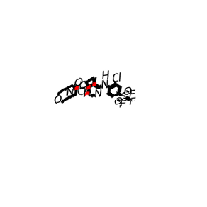 Cc1c(Nc2ccc(S(=O)(=O)C(F)(F)F)cc2Cl)ncnc1OC1CC2COCC(C1)N2C(=O)OC1(C)CCC1